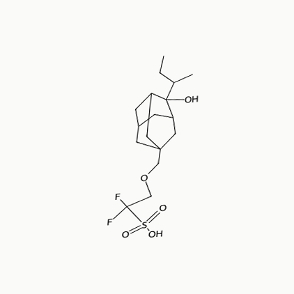 CCC(C)C1(O)C2CC3CC1CC(COCC(F)(F)S(=O)(=O)O)(C3)C2